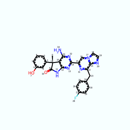 C[C@]1(c2cccc(O)c2)C(=O)Nc2nc(-c3cn4ccnc4c(Cc4ccc(F)cc4)n3)nc(N)c21